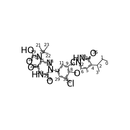 CCC(C)c1cc(Oc2c(Cl)cc(-n3nc(N(C(=O)O)C(C)(C)C)c(=O)[nH]c3=O)cc2Cl)n[nH]c1=O